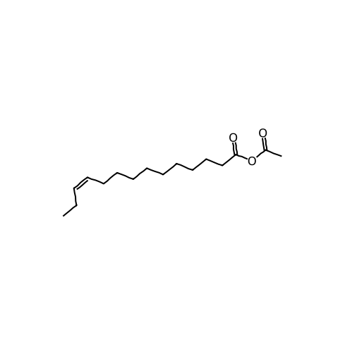 CC/C=C\CCCCCCCCCC(=O)OC(C)=O